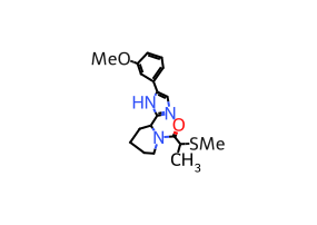 COc1cccc(-c2cnc(C3CCCCN3C(=O)C(C)SC)[nH]2)c1